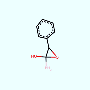 BC1(O)OC1c1ccccc1